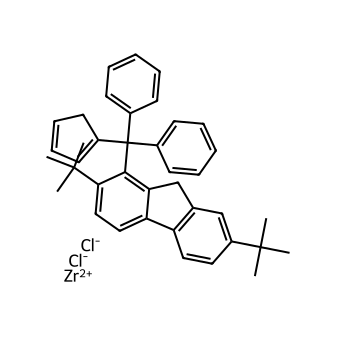 CC(C)(C)c1ccc2c(c1)Cc1c-2ccc(C(C)(C)C)c1C(C1=CC=CC1)(c1ccccc1)c1ccccc1.[Cl-].[Cl-].[Zr+2]